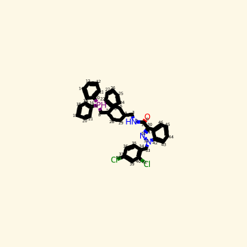 O=C(NCC1CCC(C[PH](c2ccccc2)(c2ccccc2)c2ccccc2)CC1)c1nn(Cc2ccc(Cl)cc2Cl)c2ccccc12